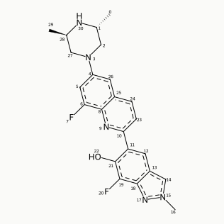 C[C@@H]1CN(c2cc(F)c3nc(-c4cc5cn(C)nc5c(F)c4O)ccc3c2)C[C@@H](C)N1